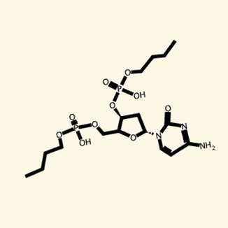 CCCCOP(=O)(O)OCC1O[C@@H](n2ccc(N)nc2=O)C[C@@H]1OP(=O)(O)OCCCC